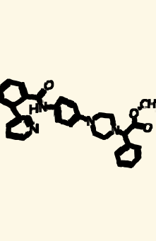 COC(=O)C(c1ccccc1)N1CCN(c2ccc(NC(=O)c3ccccc3-c3cccnc3)cc2)CC1